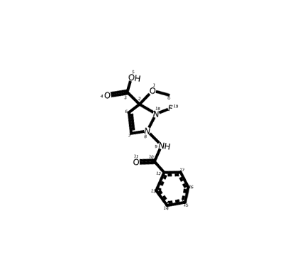 COC1(C(=O)O)C=CN(NC(=O)c2ccccc2)N1F